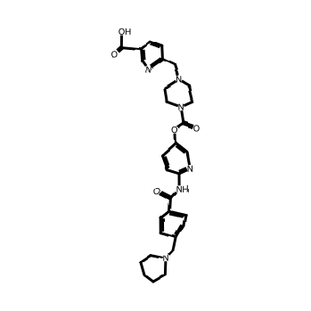 O=C(O)c1ccc(CN2CCN(C(=O)Oc3ccc(NC(=O)c4ccc(CN5CCCCC5)cc4)nc3)CC2)nc1